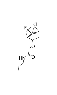 CCCNC(=O)COC1CC2=C(Cl)C(F)=C1CCC2